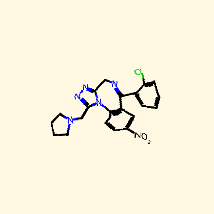 O=[N+]([O-])c1ccc2c(c1)C(c1ccccc1Cl)=NCc1nnc(CN3CCCC3)n1-2